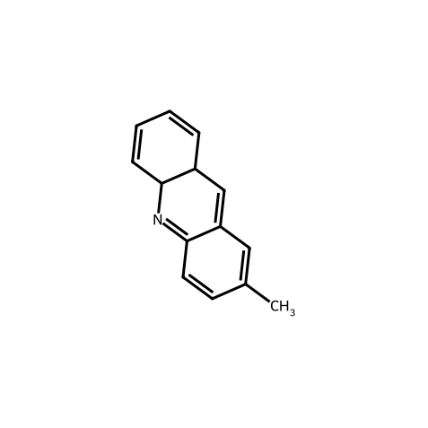 Cc1ccc2c(c1)=CC1C=CC=CC1N=2